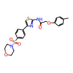 Cc1ccc(OCC(=O)Nc2nc(-c3ccc(S(=O)(=O)N4CCOCC4)cc3)cs2)cc1